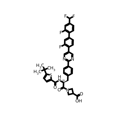 CC(C)(C)c1ccc(C(=O)N[C@@H](Cc2ccc(-c3ncc(-c4ccc(-c5ccc(C(F)F)cc5F)cc4F)cn3)cc2)C(=O)N2CC(C(=O)O)C2)s1